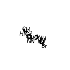 C=CC(=O)Nc1ccc2c(N3CCC(Nc4ncc(Br)cn4)C3)ncnc2c1